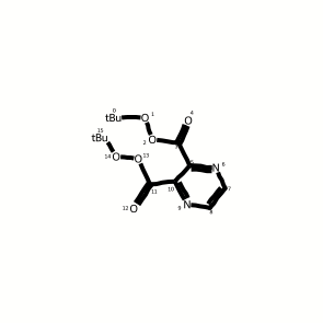 CC(C)(C)OOC(=O)c1nccnc1C(=O)OOC(C)(C)C